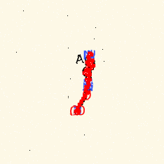 CCC12CCC(CC)(CC1)C21c2cc([C]3=[Ac][C]4=NC(C)=NC4=N3)ccc2-c2cc3c(cc21)-c1ccc(-c2ccc(C4=NC5=NC(c6ccc(OCCCCCCCCCN7C(=O)C=CC7=O)cc6)=NC5=N4)cc2)cc1C31C2(CC)CCC1(CC)CC2